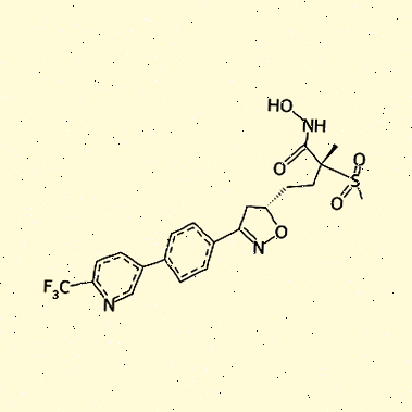 C[C@@](CC[C@H]1CC(c2ccc(-c3ccc(C(F)(F)F)nc3)cc2)=NO1)(C(=O)NO)S(C)(=O)=O